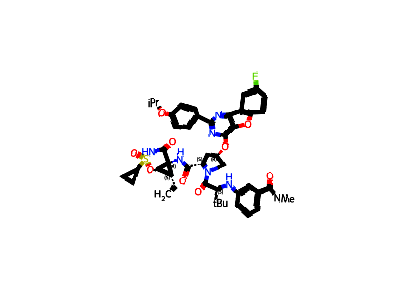 C=C[C@@H]1C[C@]1(NC(=O)[C@@H]1C[C@@H](Oc2nc(-c3ccc(OC(C)C)cc3)nc3c2oc2ccc(F)cc23)CN1C(=O)[C@@H](Nc1cccc(C(=O)NC)c1)C(C)(C)C)C(=O)NS(=O)(=O)C1CC1